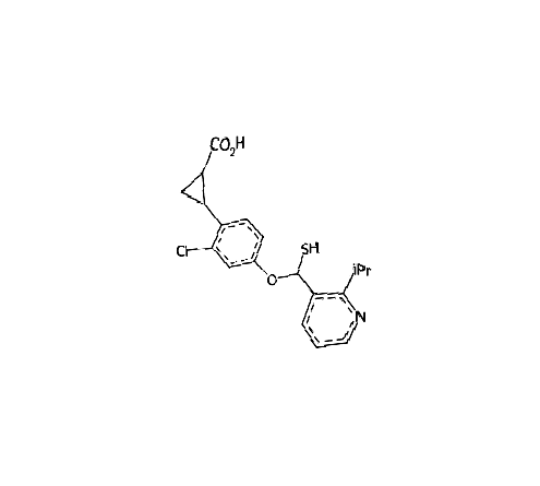 CC(C)c1ncccc1C(S)Oc1ccc(C2CC2C(=O)O)c(Cl)c1